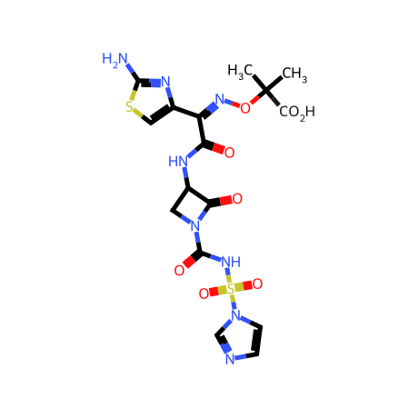 CC(C)(O/N=C(\C(=O)NC1CN(C(=O)NS(=O)(=O)n2ccnc2)C1=O)c1csc(N)n1)C(=O)O